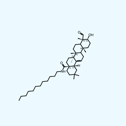 CCCCCCCCCCCCNC(=O)[C@]12CCC(C)(C)C[C@H]1C1=CCC3[C@@]4(C)CC[C@H](O)[C@@](C)(C=O)C4CC[C@@]3(C)[C@]1(C)CC2